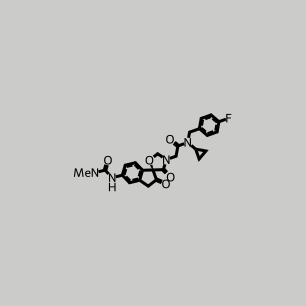 CNC(=O)Nc1ccc2c(c1)CC(=O)[C@]21OCN(CC(=O)N(Cc2ccc(F)cc2)C2CC2)C1=O